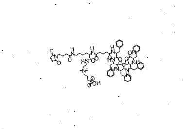 C[N+](C)(CCCS(=O)(=O)O)CCNC(=O)C(CCCCNC(=O)CCCN1C(=O)C=CC1=O)NC(=O)CCCC(=O)NC(Cc1ccccc1)C(=O)NC(Cc1ccccc1)C(=O)NC(Cc1ccccc1)C(=O)NC(Cc1ccccc1)C(=O)NC(Cc1ccccc1)C(=O)O